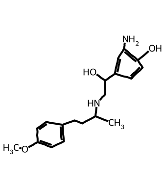 COc1ccc(CCC(C)NCC(O)c2ccc(O)c(N)c2)cc1